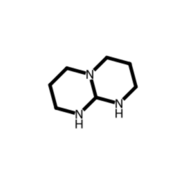 C1CNC2NCCCN2C1